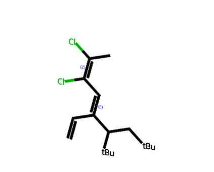 C=C/C(=C\C(Cl)=C(/C)Cl)C(CC(C)(C)C)C(C)(C)C